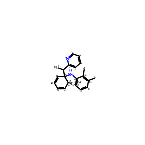 CCC(c1ccccn1)C1(Nc2cccc(C)c2C)C=CC=CC1C(=O)O